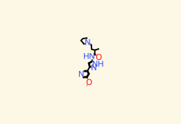 COc1cncc(-c2cc(NC(=O)C(C)CCN3CCCC3)[nH]n2)c1